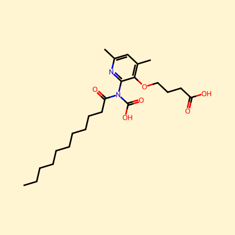 CCCCCCCCCCC(=O)N(C(=O)O)c1nc(C)cc(C)c1OCCCC(=O)O